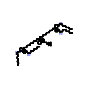 CCCCCC/C=C\COC(CCCCCCCCCC(CCCCCCCCCC(OC/C=C\CCCCCC)OC/C=C\CCCCCC)C(=O)OCCCN(C)C)OC/C=C\CCCCCC